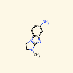 CN1CCn2c1nc1cc(N)ccc12